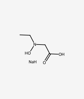 CCN(O)CC(=O)O.[NaH]